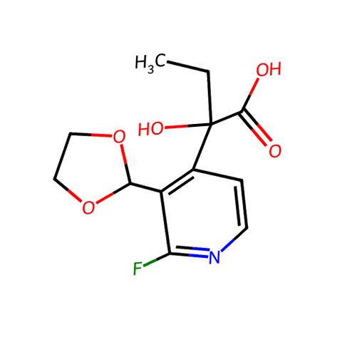 CCC(O)(C(=O)O)c1ccnc(F)c1C1OCCO1